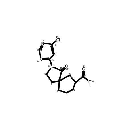 O=C(O)C1CCCC2(CCN(c3cc(Cl)ncn3)C2=O)C1